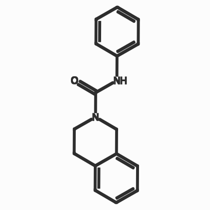 O=C(Nc1ccccc1)N1CCc2ccccc2C1